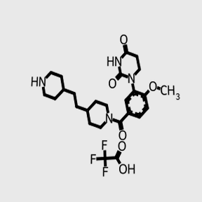 COc1ccc(C(=O)N2CCC(CCC3CCNCC3)CC2)cc1N1CCC(=O)NC1=O.O=C(O)C(F)(F)F